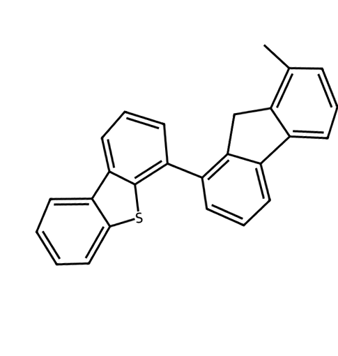 Cc1cccc2c1Cc1c-2cccc1-c1cccc2c1sc1ccccc12